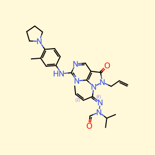 C=CCn1c(=O)c2cnc(Nc3ccc(N4CCCC4)c(C)c3)nc2n1C(/C=C\C)=N/N(C=O)C(C)C